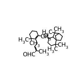 CC1(C)C2CCC3(C2)C1C(=O)CCC3(C)C.CC1=C(C/C=C(\C)C=O)C(C)(C)CCC1